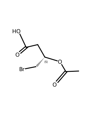 CC(=O)O[C@H](CBr)CC(=O)O